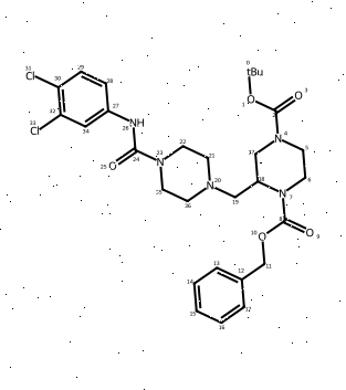 CC(C)(C)OC(=O)N1CCN(C(=O)OCc2ccccc2)C(CN2CCN(C(=O)Nc3ccc(Cl)c(Cl)c3)CC2)C1